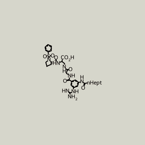 CCCCCCCC(=O)Nc1cc(NC(=N)N)cc(C(=O)NCC(=O)NCC(NC(=O)[C@@H]2CCCN2S(=O)(=O)c2ccccc2)C(=O)O)c1